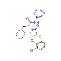 O=C(Nc1cnccn1)[C@H](CC1CCCCC1)N1CC(Oc2c(F)cccc2Cl)CC1=O